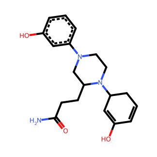 NC(=O)CCC1CN(c2cccc(O)c2)CCN1C1C=C(O)C=CC1